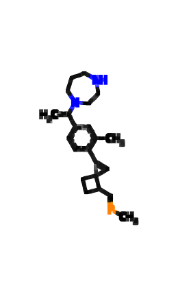 C=C(c1ccc(C2=CC23CCC3/C=P/C)c(C)c1)N1CCCNCC1